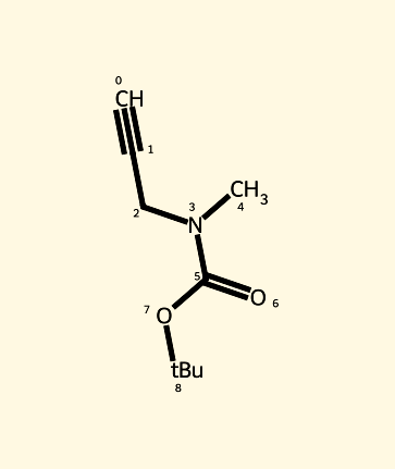 C#CCN(C)C(=O)OC(C)(C)C